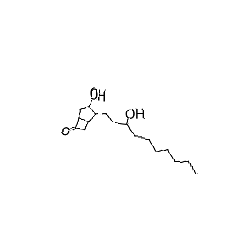 CCCCCCCC(O)CCC1C(O)CC2C(=O)CC21